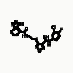 N=C(Nc1ccc(F)c(Cl)c1)c1nonc1SCCNC(=O)c1ccnc2nn[nH]c12